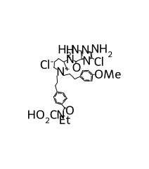 CCN(C(=O)O)C(=O)c1ccc(CCC[N+]2(CCCc3ccc(OC)cc3)CCCC(NC(=O)c3nc(Cl)c(N)nc3N)C2)cc1.[Cl-]